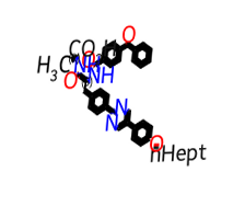 CCCCCCCOc1ccc(-c2cnc(-c3ccc(C[C@H](NC(=O)c4ccc(C(=O)c5ccccc5)cc4)C(=O)N[C@H](C)C(=O)O)cc3)nc2)cc1